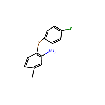 Cc1ccc(Sc2ccc(F)cc2)c(N)c1